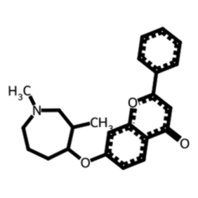 CC1CN(C)CCCC1Oc1ccc2c(=O)cc(-c3ccccc3)oc2c1